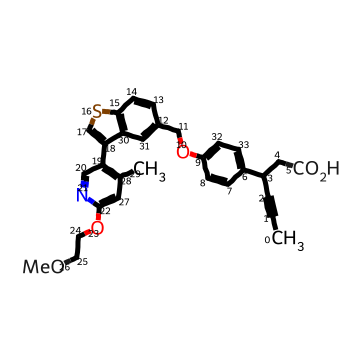 CC#CC(CC(=O)O)c1ccc(OCc2ccc3scc(-c4cnc(OCCOC)cc4C)c3c2)cc1